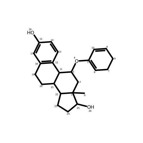 CC12CC(OC3=CCCC=C3)C3c4ccc(O)cc4CCC3C1CCC2O